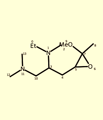 CCN(C)C(CC1OC1(C)OC)CN(C)C